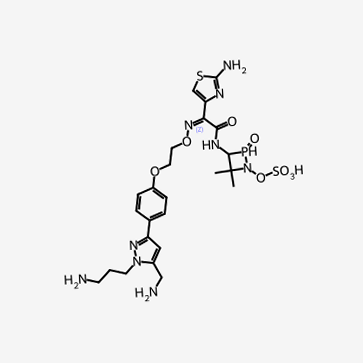 CC1(C)C(NC(=O)/C(=N\OCCOc2ccc(-c3cc(CN)n(CCCN)n3)cc2)c2csc(N)n2)[PH](=O)N1OS(=O)(=O)O